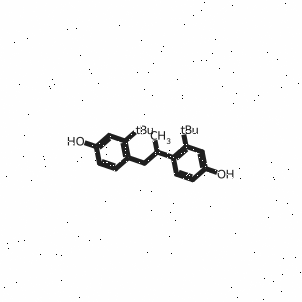 CC(Cc1ccc(O)cc1C(C)(C)C)c1ccc(O)cc1C(C)(C)C